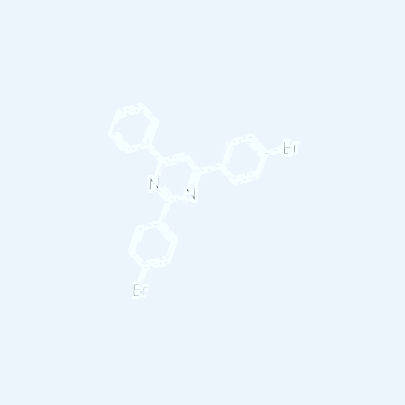 Brc1ccc(-c2cc(-c3ccccc3)nc(-c3ccc(Br)cc3)n2)cc1